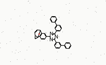 C1=CC2C3C=CC1c1cc(-c4nc(-c5cccc(-c6ccccc6)c5)nc(-c5cccc(-c6ccccc6)c5)n4)ccc1C23